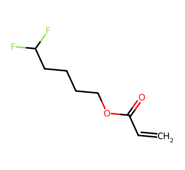 C=CC(=O)OCCCCC(F)F